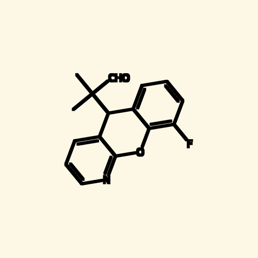 CC(C)(C=O)C1c2cccnc2Oc2c(F)cccc21